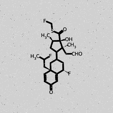 CC(F)C[C@]12C=CC(=O)C=C1[C@@H](F)CC(C1C[C@@H](C)[C@](O)(C(=O)SCF)[C@@]1(C)CC=O)C2